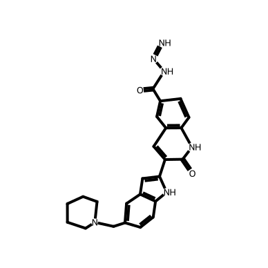 N=NNC(=O)c1ccc2[nH]c(=O)c(-c3cc4cc(CN5CCCCC5)ccc4[nH]3)cc2c1